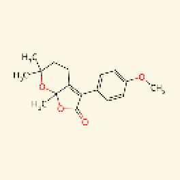 COc1ccc(C2=C3CCC(C)(C)OC3(C)OC2=O)cc1